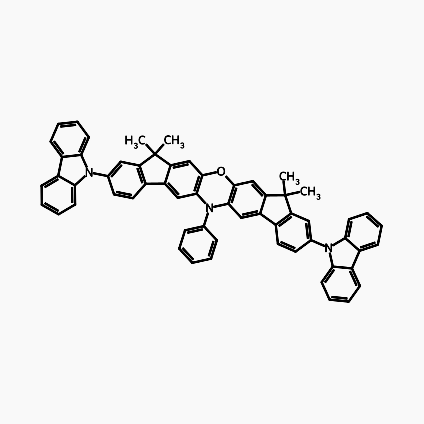 CC1(C)c2cc(-n3c4ccccc4c4ccccc43)ccc2-c2cc3c(cc21)Oc1cc2c(cc1N3c1ccccc1)-c1ccc(-n3c4ccccc4c4ccccc43)cc1C2(C)C